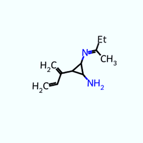 C=CC(=C)C1C(N)C1/N=C(\C)CC